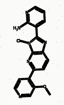 COc1cnccc1-c1ccc2nc(-c3cccnc3N)n(Cl)c2n1